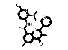 Cc1cc([C@@H](C)Nc2ccc(Cl)nc2N(C)C)c2oc(-c3cccnc3)c(C)c(=O)c2c1